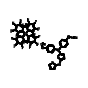 CCCCOc1ccc([S+](c2ccc(OCCCC)cc2)c2ccc(Sc3cccs3)s2)cc1.Fc1c(F)c(F)c([B-](c2c(F)c(F)c(F)c(F)c2F)(c2c(F)c(F)c(F)c(F)c2F)c2c(F)c(F)c(F)c(F)c2F)c(F)c1F